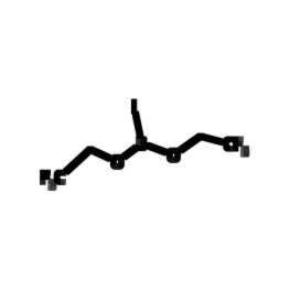 FC(F)(F)COB(I)OCC(F)(F)F